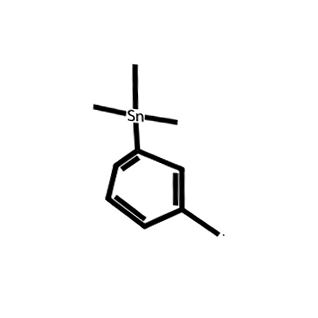 [CH2]c1ccc[c]([Sn]([CH3])([CH3])[CH3])c1